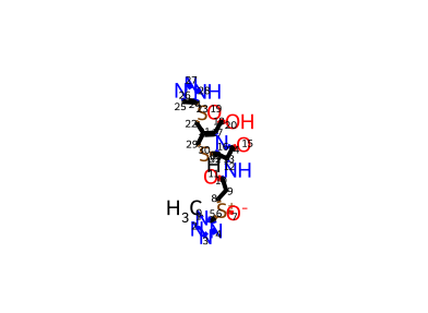 Cn1nnnc1[S+]([O-])CCC(=O)NC1C(=O)N2C(C(=O)O)=C(CSc3cnn[nH]3)CS[C@@H]12